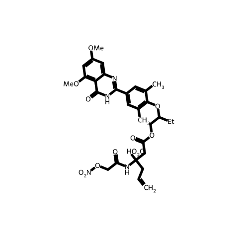 C=CCC(CC(=O)OCC(CC)Oc1c(C)cc(-c2nc3cc(OC)cc(OC)c3c(=O)[nH]2)cc1C)(NC(=O)CO[N+](=O)[O-])C(=O)O